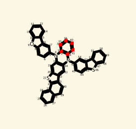 c1ccc(N(c2ccc3oc4ccccc4c3c2)c2cc3sc4c5ccccc5ccc4c3cc2N(c2ccccc2)c2ccc3sc4ccccc4c3c2)cc1